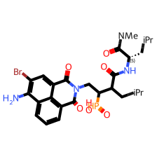 CNC(=O)[C@H](CC(C)C)NC(=O)C(CC(C)C)C(CN1C(=O)c2cccc3c(N)c(Br)cc(c23)C1=O)[PH](=O)O